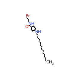 CCCCCCCCCCCCCCCCNc1ccc(C(=O)NCCCBr)cc1